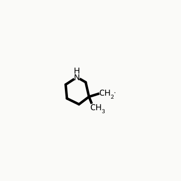 [CH2]C1(C)CCCNC1